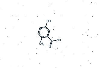 Cc1ccc(O)cc1C(=O)N=O